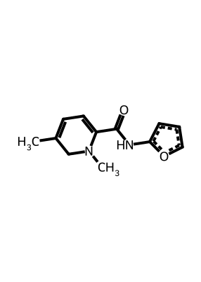 CC1=CC=C(C(=O)Nc2ccco2)N(C)C1